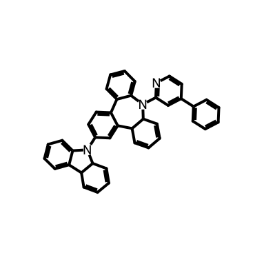 C1=CC2c3ccccc3N(c3ccc4c(c3)C3C=CC=CC3N(c3cc(-c5ccccc5)ccn3)c3ccccc3-4)C2C=C1